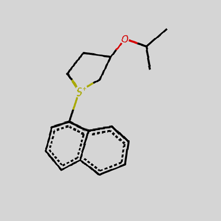 CC(C)OC1CC[S+](c2cccc3ccccc23)C1